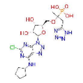 CC(Cc1nnn[nH]1)(OC[C@H]1O[C@@H](n2nnc3c(NC4CCCC4)nc(Cl)nc32)[C@H](O)[C@@H]1O)P(=O)(O)O